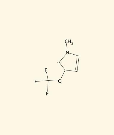 CN1[CH]C(OC(F)(F)F)C=C1